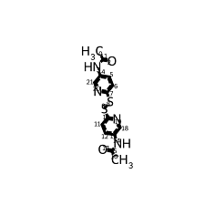 CC(=O)Nc1ccc(SSc2ccc(NC(C)=O)cn2)nc1